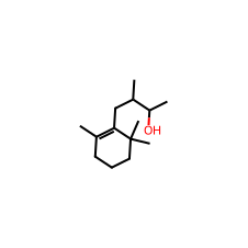 CC1=C(CC(C)C(C)O)C(C)(C)CCC1